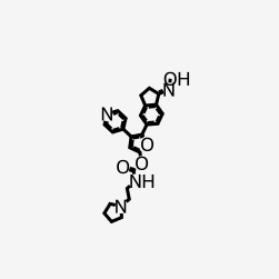 O=C(NCCN1CCCC1)Oc1cc(-c2ccncc2)c(-c2ccc3c(c2)CCC3=NO)o1